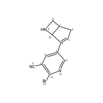 N#Cc1cc(C2=CCC3CNC23)cnc1Br